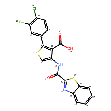 O=C(Nc1csc(-c2ccc(Cl)c(F)c2)c1C(=O)O)c1nc2ccccc2s1